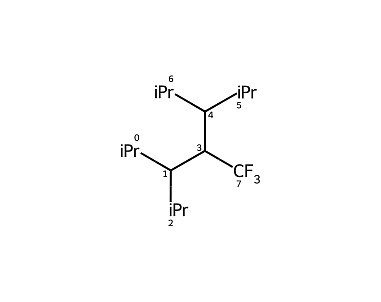 CC(C)C(C(C)C)C(C(C(C)C)C(C)C)C(F)(F)F